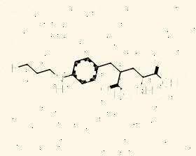 CC(=O)[C@@H](N)CC(Cc1ccc(NCCCF)cc1)C(=O)O